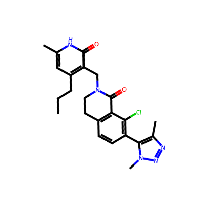 CCCc1cc(C)[nH]c(=O)c1CN1CCc2ccc(-c3c(C)nnn3C)c(Cl)c2C1=O